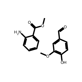 COC(=O)c1ccccc1N.COc1cc(C=O)ccc1O